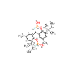 Cc1cc(Cc2cc(C)cc(C(C)(C)CC(C)(C)C)c2OP(O)F)c(OP(O)F)c(C(C)(C)CC(C)(C)C)c1